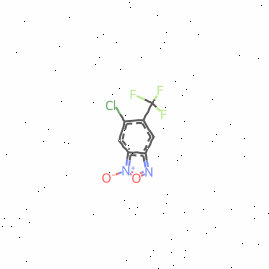 [O-][n+]1onc2cc(C(F)(F)F)c(Cl)cc21